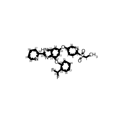 CCS(=O)(=O)c1ccc(Oc2cc(Oc3ccccc3C(F)F)c3nc(-c4ccccn4)[nH]c3c2)cn1